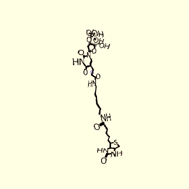 O=C(/C=C/c1cn([C@H]2C[C@@H](OP(=O)(O)O)[C@@H](CO)O2)c(=O)[nH]c1=O)NCCCCCCNC(=O)CCCCC1SCC2NC(=O)NC21